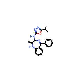 C=C1Nc2ccccc2C(c2ccccc2)=NC1Nc1nnc(C(C)C)o1